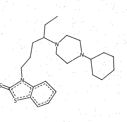 CCC(CCCn1c(=S)sc2ccccc21)N1CCN(C2CCCCC2)CC1